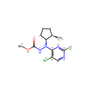 C[C@@H]1CCC[C@@H]1N(NC(=O)OC(C)(C)C)c1nc(Cl)ncc1Br